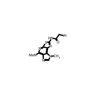 CNc1nc2sc(NC(=O)CC(C)C)nc2c2c1ncn2C